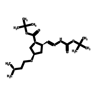 CN(C)CCO[C@@H]1C[C@@H](/C=N/NC(=O)OC(C)(C)C)N(C(=O)OC(C)(C)C)C1